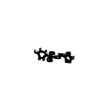 Cc1ccc(S(=O)(=O)ON=C2N=CN=N2)cc1